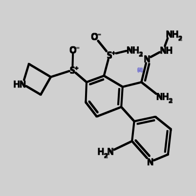 NN/N=C(\N)c1c(-c2cccnc2N)ccc([S+]([O-])C2CNC2)c1[S+](N)[O-]